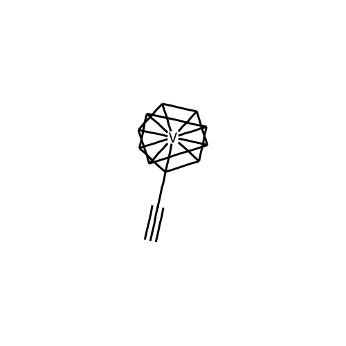 C#C[C]12[CH]3[CH]4[CH]5[CH]1[V]45321678[CH]2[CH]1[CH]6[CH]7[CH]28